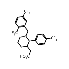 O=C(O)CC1CCCN(Cc2cc(C(F)(F)F)ccc2C(F)(F)F)[C@H]1c1ccc(C(F)(F)F)cc1